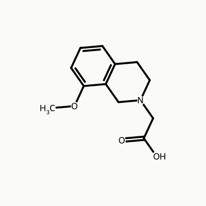 COc1cccc2c1CN(CC(=O)O)CC2